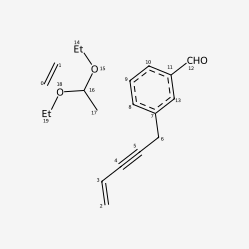 C=C.C=CC#CCc1cccc(C=O)c1.CCOC(C)OCC